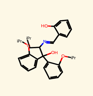 CC(C)CC(N=Cc1ccccc1O)C(O)(c1ccccc1OC(C)C)c1ccccc1OC(C)C